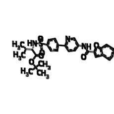 CC(C)[C@H](NS(=O)(=O)c1ccc(-c2ccc(NC(=O)c3cc4ccccc4o3)cn2)cc1)C(=O)OC(C)(C)C